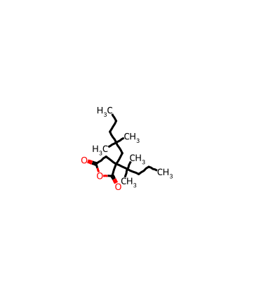 CCCC(C)(C)CC1(C(C)(C)CCC)CC(=O)OC1=O